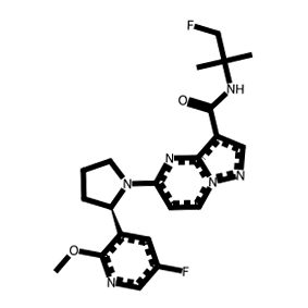 COc1ncc(F)cc1[C@H]1CCCN1c1ccn2ncc(C(=O)NC(C)(C)CF)c2n1